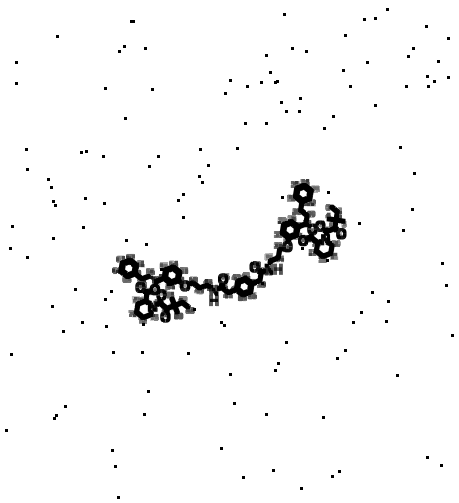 CCC(C)(C)C(=O)C(=O)N1CCCCC1C(=O)OC(CCc1ccccc1)c1cccc(OCCCNC(=O)Cc2ccc(CC(=O)NCCCOc3cccc([C@@H](CCc4ccccc4)OC(=O)C4CCCCN4C(=O)C(=O)C(C)(C)CC)c3)cc2)c1